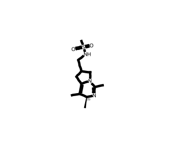 CC1=N[C@@H](C)C(C)=C2CC(CNS(C)(=O)=O)CN12